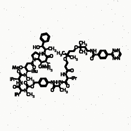 CC[C@H](C)[C@@H]([C@@H](CC(=O)N1CCC[C@H]1[C@H](OC)[C@@H](C)C(=O)N[C@H](C)[C@@H](O)c1ccccc1)OC)N(C)C(=O)[C@@H](NC(=O)[C@H](C(C)C)N(C)C(=O)OCc1ccc(NC(=O)[C@H](C)NC(=O)[C@@H](NC(=O)CCOC(C)(C)CCOC(C)(C)CCNC(=O)c2ccc(-c3nncnn3)cc2)C(C)C)cc1)C(C)C